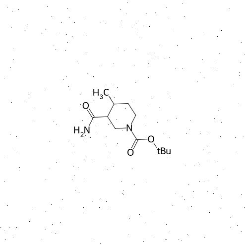 CC1CCN(C(=O)OC(C)(C)C)CC1C(N)=O